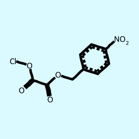 O=C(OCl)C(=O)OCc1ccc([N+](=O)[O-])cc1